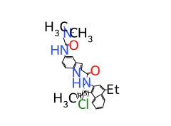 CCc1cc2c(c3ccccc13)[C@H]([C@@H](C)Cl)CN2C(=O)c1cc2cc(NC(=O)CN(C)C)ccc2[nH]1